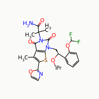 Cc1c(-c2ncco2)sc2c1c(=O)n(C(C)(C)C(N)=O)c(=O)n2C[C@H](OC(C)C)c1ccccc1OC(F)F